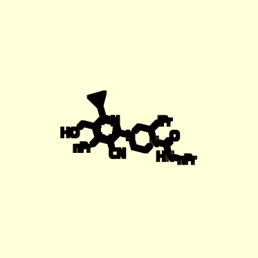 CCCNC(=O)N1CCN(c2nc(C3CC3)c(CO)c(CCC)c2C#N)CC1C(C)C